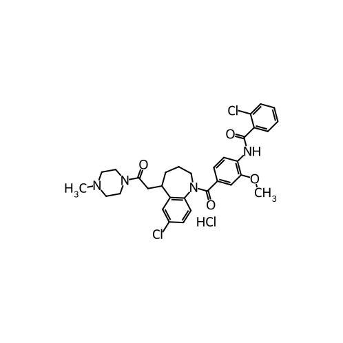 COc1cc(C(=O)N2CCCC(CC(=O)N3CCN(C)CC3)c3cc(Cl)ccc32)ccc1NC(=O)c1ccccc1Cl.Cl